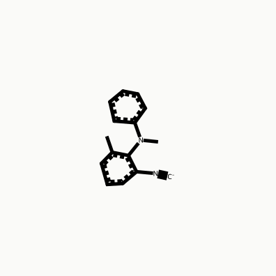 [C-]#[N+]c1cccc(C)c1N(C)c1ccccc1